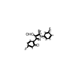 O=Cc1c(-c2ccc(F)cc2Cl)nn(-c2cccc(F)c2)c1Br